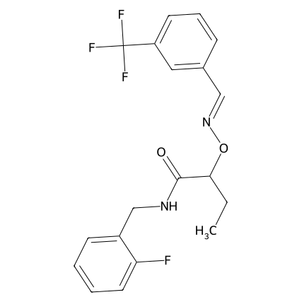 CCC(ON=Cc1cccc(C(F)(F)F)c1)C(=O)NCc1ccccc1F